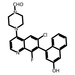 O=CN1CCN(c2ccnc3c(F)c(-c4cc(O)cc5ccccc45)c(Cl)cc23)CC1